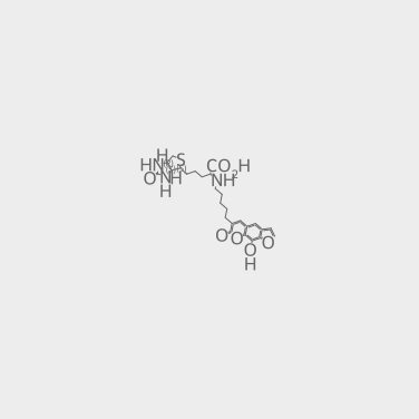 O=C1N[C@H]2[C@H](CS[C@H]2CCCC(NCCCCCc2cc3cc4ccoc4c(O)c3oc2=O)C(=O)O)N1